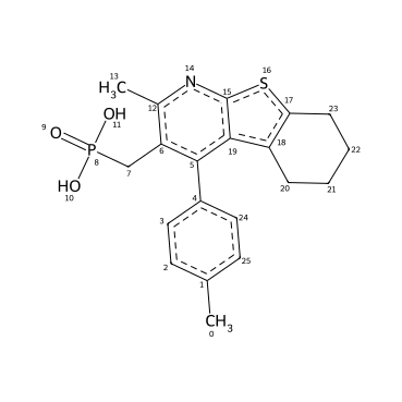 Cc1ccc(-c2c(CP(=O)(O)O)c(C)nc3sc4c(c23)CCCC4)cc1